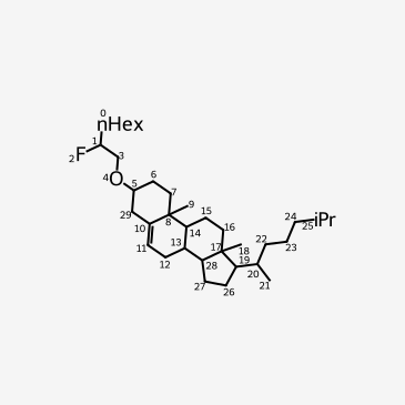 CCCCCCC(F)COC1CCC2(C)C(=CCC3C2CCC2(C)C(C(C)CCCC(C)C)CCC32)C1